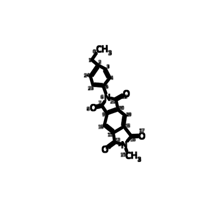 CCc1ccc(-n2c(=O)c3cc4c(=O)n(C)c(=O)c4cc3c2=O)cc1